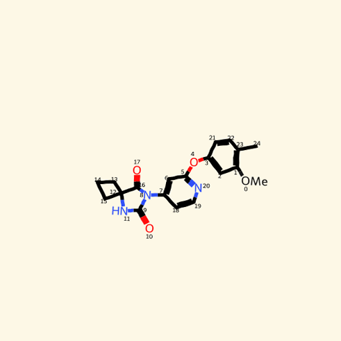 COc1cc(Oc2cc(N3C(=O)NC4(CCC4)C3=O)ccn2)ccc1C